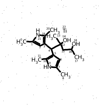 Cc1cc(C(c2cc(C)[nH]c2C)C(C)(O)CC(C)O)c(C)[nH]1.[Ti]